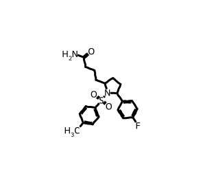 Cc1ccc(S(=O)(=O)N2C(CCCC(N)=O)CCC2c2ccc(F)cc2)cc1